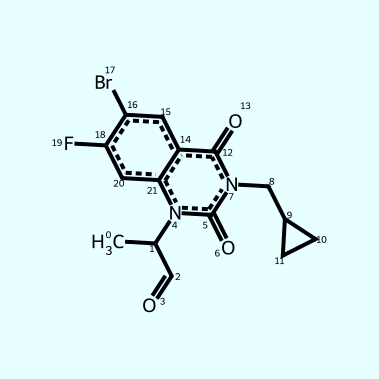 CC(C=O)n1c(=O)n(CC2CC2)c(=O)c2cc(Br)c(F)cc21